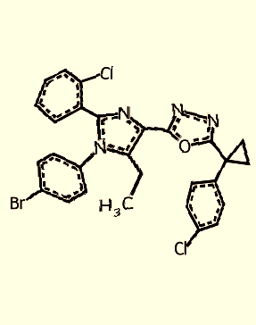 CCc1c(-c2nnc(C3(c4ccc(Cl)cc4)CC3)o2)nc(-c2ccccc2Cl)n1-c1ccc(Br)cc1